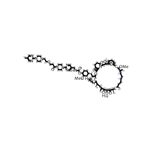 CO[C@H]1C[C@@H]2CC[C@@H](C)[C@@](O)(O2)C(=O)C(=O)N2CCCC[C@H]2C(=O)O[C@H]([C@H](N)C[C@@H]2CC[C@@H](OC(=O)NCc3cnc(N4CCN(C(=O)CCOCCN5CCN(c6ncc(C)cn6)CC5)CC4)nc3)[C@H](OC)C2)CC(N=[N+]=[N-])[C@H](C)/C=C(\C)[C@@H](O)[C@@H](O)C(=O)[C@H](C)C[C@H](C)/C=C/C=C/C=C/1C